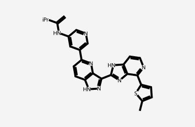 C=C(Nc1cncc(-c2ccc3[nH]nc(-c4nc5c(-c6ccc(C)s6)nccc5[nH]4)c3n2)c1)C(C)C